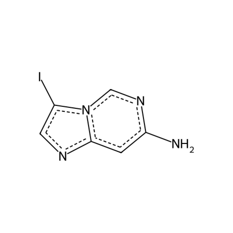 Nc1cc2ncc(I)n2cn1